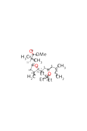 C=C=C(C)C[C@H](CC[C@@H]1O[C@@H](CC(C)(C)C(=O)OC)CC1=C)O[Si](CC)(CC)CC